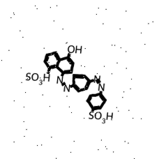 O=S(=O)(O)c1ccc(/N=N\c2ccc(/N=N\c3ccc(O)c4cccc(S(=O)(=O)O)c34)cc2)cc1